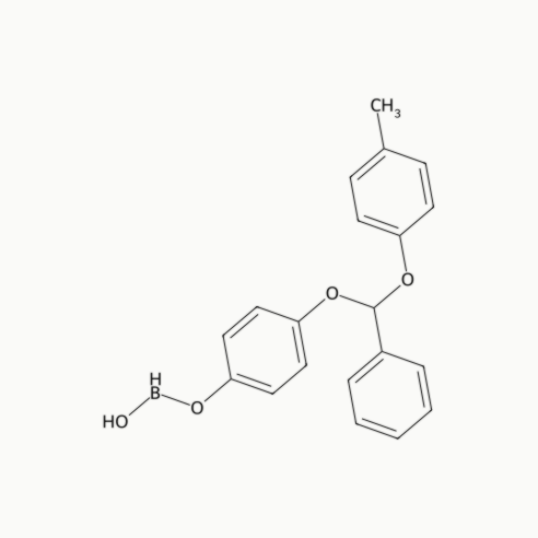 Cc1ccc(OC(Oc2ccc(OBO)cc2)c2ccccc2)cc1